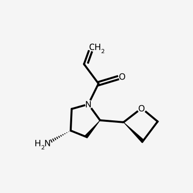 C=CC(=O)N1C[C@@H](N)C[C@@H]1[C@@H]1CCO1